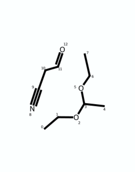 CCOC(C)OCC.N#CCC=O